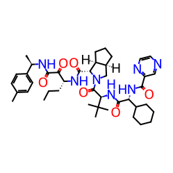 CCC[C@@H](NC(=O)[C@@H]1[C@H]2CCC[C@H]2CN1C(=O)[C@@H](NC(=O)[C@H](NC(=O)c1cnccn1)C1CCCCC1)C(C)(C)C)C(=O)C(=O)N[C@H](C)c1ccc(C)cc1